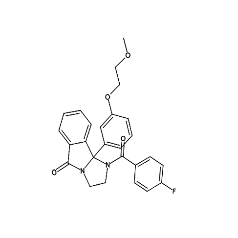 COCCOc1cccc(C23c4ccccc4C(=O)N2CCN3C(=O)c2ccc(F)cc2)c1